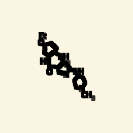 CCOc1ccc2c(c1)NC(=O)c1cnc(NC3CCN(C)CC3)nc1N2